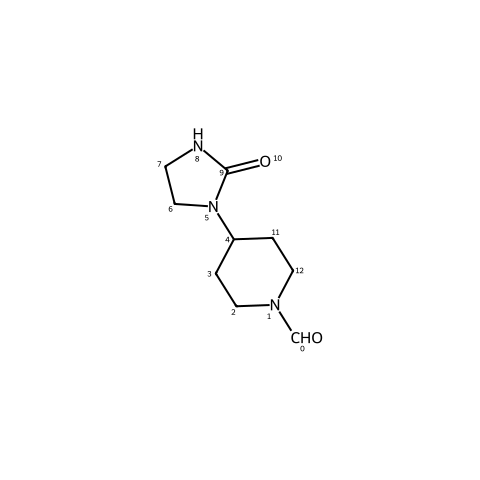 O=CN1CCC(N2CCNC2=O)CC1